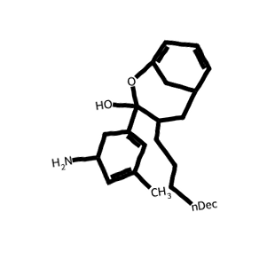 CCCCCCCCCCCCCC1CC2C=CC=C(C2)OC1(O)C1=CC(C)=CC(N)C1